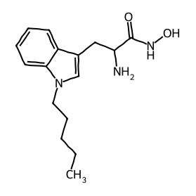 CCCCCn1cc(CC(N)C(=O)NO)c2ccccc21